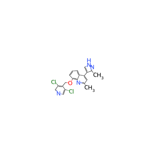 Cc1cc(-c2c[nH]nc2C)c2cccc(OCc3c(Cl)cncc3Cl)c2n1